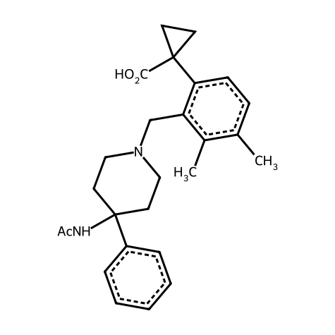 CC(=O)NC1(c2ccccc2)CCN(Cc2c(C3(C(=O)O)CC3)ccc(C)c2C)CC1